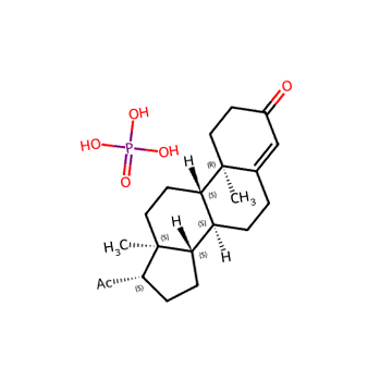 CC(=O)[C@H]1CC[C@H]2[C@@H]3CCC4=CC(=O)CC[C@]4(C)[C@H]3CC[C@]12C.O=P(O)(O)O